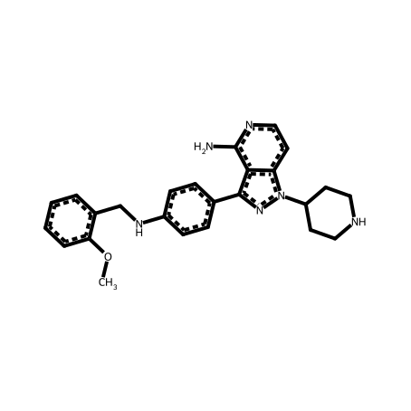 COc1ccccc1CNc1ccc(-c2nn(C3CCNCC3)c3ccnc(N)c23)cc1